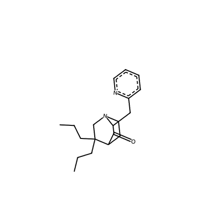 CCCC1(CCC)CN2CCC1C(=O)C2Cc1ccccn1